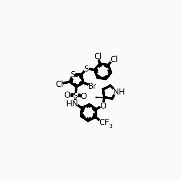 C[C@@]1(Oc2cc(NS(=O)(=O)c3c(Cl)sc(Sc4cccc(Cl)c4Cl)c3Br)ccc2C(F)(F)F)CCNC1